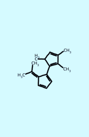 CC1=[C]C(C)C(C2=CC=CC2=C(C)C)=C1C